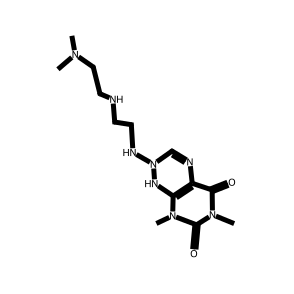 CN(C)CCNCCNN1C=Nc2c(n(C)c(=O)n(C)c2=O)N1